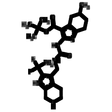 CC1CCc2sc(NC(=O)NCc3c(C(F)(F)P)[nH]c4c3CCNC4)c(C(=O)OC(C)(C)C)c2C1